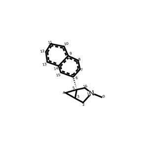 CN1CC2C[C@@]2(c2ccc3ccccc3c2)C1